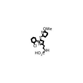 COc1cccc(Sc2cc(CCNC(=O)O)nn2-c2ccccc2Cl)n1